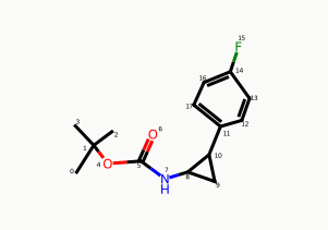 CC(C)(C)OC(=O)NC1CC1c1ccc(F)cc1